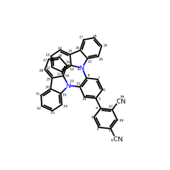 N#Cc1ccc(-c2ccc(-n3c4ccccc4c4ccccc43)c(-n3c4ccccc4c4ccccc43)c2)c(C#N)c1